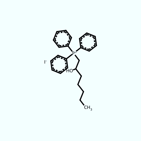 CCCCCC(O)C[P+](c1ccccc1)(c1ccccc1)c1ccccc1.[I-]